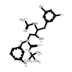 CC(=O)NC(Cc1cc(F)cc(F)c1)C(O)CN(Cc1cccc(Br)c1)C(=O)OC(C)(C)C